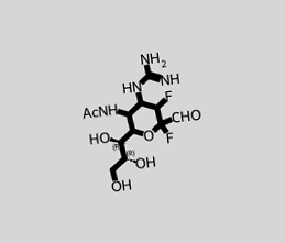 CC(=O)NC1C(NC(=N)N)C(F)C(F)(C=O)OC1[C@H](O)[C@H](O)CO